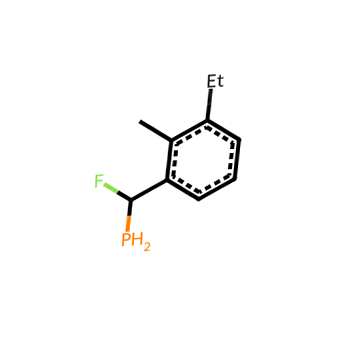 CCc1cccc(C(F)P)c1C